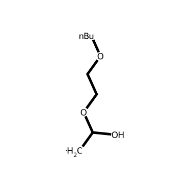 [CH2]C(O)OCCOCCCC